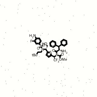 COC(=O)N(C(=O)[C@@H](N)C(c1ccccc1)c1ccccc1)[C@H](c1ccc([C@@H](CO)N(CCC(C)(C)C)S(=O)(=O)c2ccc(N)c(F)c2)s1)C(F)(F)F